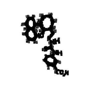 O=C(O)c1cccc(NC(=S)NN=Cc2cccc(-c3cccc4ccccc34)c2O)c1